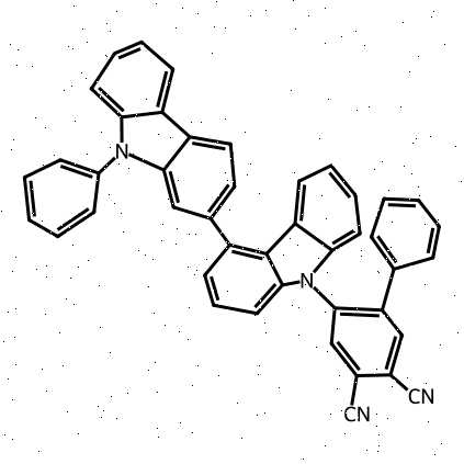 N#Cc1cc(-c2ccccc2)c(-n2c3ccccc3c3c(-c4ccc5c6ccccc6n(-c6ccccc6)c5c4)cccc32)cc1C#N